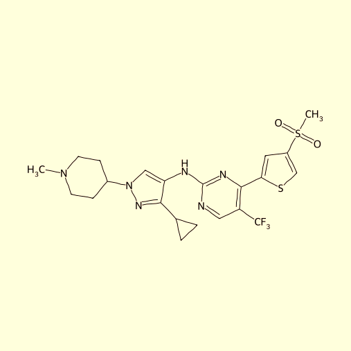 CN1CCC(n2cc(Nc3ncc(C(F)(F)F)c(-c4cc(S(C)(=O)=O)cs4)n3)c(C3CC3)n2)CC1